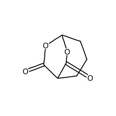 O=C1OC2CCCC1C(=O)O2